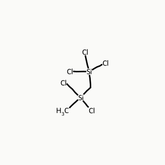 C[Si](Cl)(Cl)C[Si](Cl)(Cl)Cl